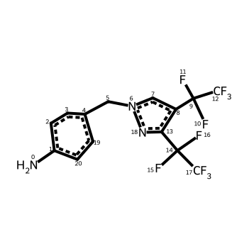 Nc1ccc(Cn2cc(C(F)(F)C(F)(F)F)c(C(F)(F)C(F)(F)F)n2)cc1